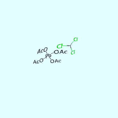 CC(=O)[O][Pb]([O]C(C)=O)([O]C(C)=O)[O]C(C)=O.ClC(Cl)Cl